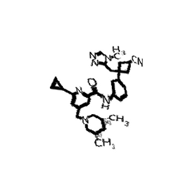 C[C@@H]1C[C@H](C)CN(Cc2cc(C(=O)Nc3cccc(C4(Cc5nncn5C)CC(C#N)C4)c3)nc(C3CC3)c2)C1